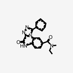 CCN(C)C(=O)c1ccc2[nH]c(=O)c3nnc(-c4ccccc4)n3c2c1